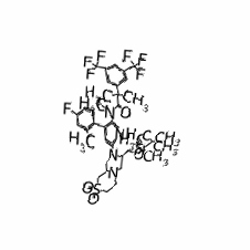 Cc1cc(F)ccc1-c1cc(N2CC3CS(=O)(=O)CCN3C[C@@H]2CO[Si](C)(C)C(C)(C)C)ncc1N(C)C(=O)C(C)(C)c1cc(C(F)(F)F)cc(C(F)(F)F)c1